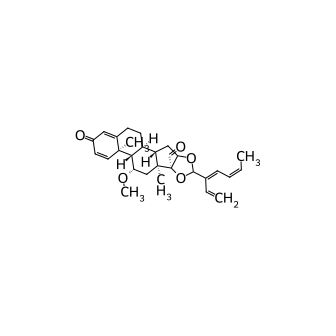 C=C/C(=C\C=C/C)C1OC2C[C@H]3[C@@H]4CCC5=CC(=O)C=C[C@]5(C)[C@H]4[C@@H](OC)C[C@]3(C)[C@]2(C=O)O1